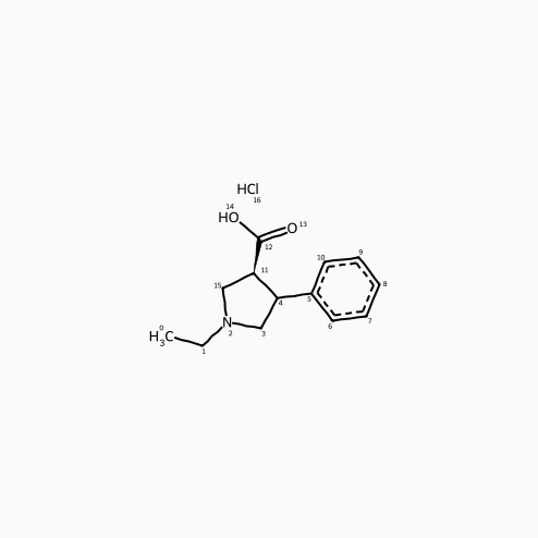 CCN1CC(c2ccccc2)[C@H](C(=O)O)C1.Cl